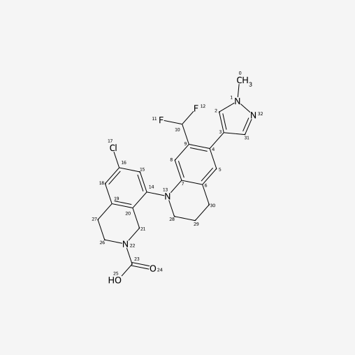 Cn1cc(-c2cc3c(cc2C(F)F)N(c2cc(Cl)cc4c2CN(C(=O)O)CC4)CCC3)cn1